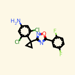 Nc1cc(Cl)c(C2(c3noc(-c4cc(F)ccc4F)n3)CC2)c(Cl)c1